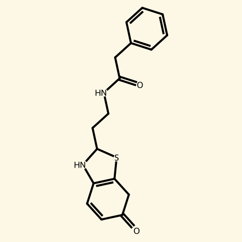 O=C1C=CC2=C(C1)SC(CCNC(=O)Cc1ccccc1)N2